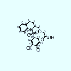 O=C(O)COCC1CCc2ccccc2N1S(=O)(=O)C1C=C(Cl)C(Cl)=CC1